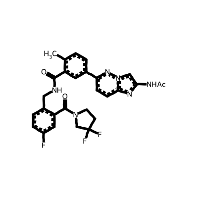 CC(=O)Nc1cn2nc(-c3ccc(C)c(C(=O)NCc4ccc(F)cc4C(=O)N4CCC(F)(F)C4)c3)ccc2n1